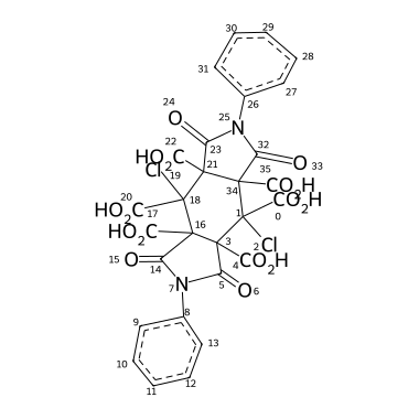 O=C(O)C1(Cl)C2(C(=O)O)C(=O)N(c3ccccc3)C(=O)C2(C(=O)O)C(Cl)(C(=O)O)C2(C(=O)O)C(=O)N(c3ccccc3)C(=O)C12C(=O)O